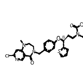 CN(CC[C@H](Oc1ccc(CN2CCN(C)c3cc(Cl)ncc3C2=O)cc1)c1cccs1)C(=O)O